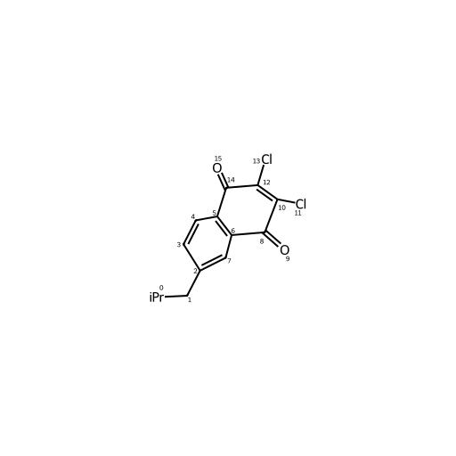 CC(C)Cc1ccc2c(c1)C(=O)C(Cl)=C(Cl)C2=O